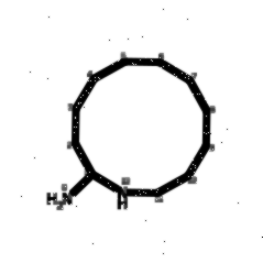 NC1CCCCCCCCCCN1